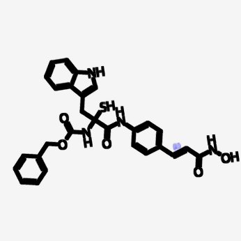 O=C(/C=C/c1ccc(NC(=O)C(S)(Cc2c[nH]c3ccccc23)NC(=O)OCc2ccccc2)cc1)NO